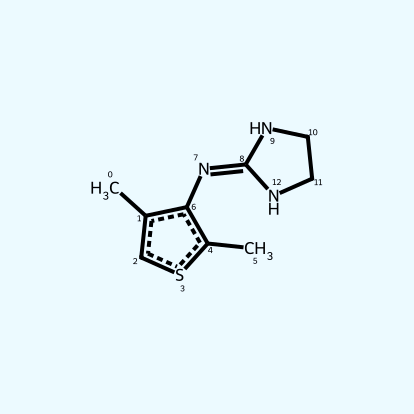 Cc1csc(C)c1N=C1NCCN1